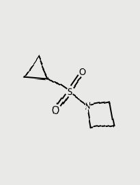 O=S(=O)(C1CC1)N1CCC1